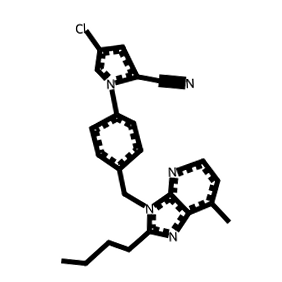 CCCCc1nc2c(C)ccnc2n1Cc1ccc(-n2cc(Cl)cc2C#N)cc1